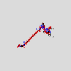 CC[C@H]1C(=O)OCc2c1cc1n(c2=O)Cc2c-1nc1cc(F)c(C)c3c1c2[C@@H](NC(=O)[C@@H](OCNC(=O)CNC(=O)[C@H](Cc1ccccc1)NC(=O)CNC(=O)CNC(=O)COCCOCCOCCOCCOCCOCCOCCOCCOCCNC(=O)[C@H]1CC[C@H](CN2C(=O)C=CC2=O)CC1)C1CC1)CC3